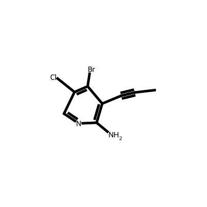 CC#Cc1c(N)ncc(Cl)c1Br